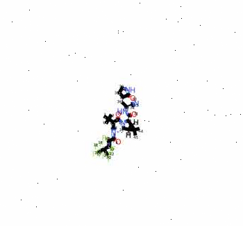 CC(C)(C)C(C#[N+]C(=O)/C(F)=C(\F)C(F)(C(F)(F)F)C(F)(F)F)C(=O)N1C[C@H]2[C@@H]([C@H]1C(=O)N[C@H](C#N)C[C@@H]1CCNC1=O)C2(C)C